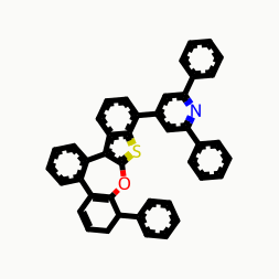 C1=CC2=C(Oc3sc4c(-c5cc(-c6ccccc6)nc(-c6ccccc6)c5)cccc4c3-c3ccccc32)C(c2ccccc2)C1